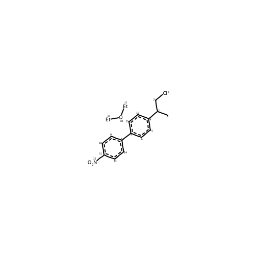 CC(CCl)c1ccc(-c2ccc([N+](=O)[O-])cc2)cc1.CCOCC